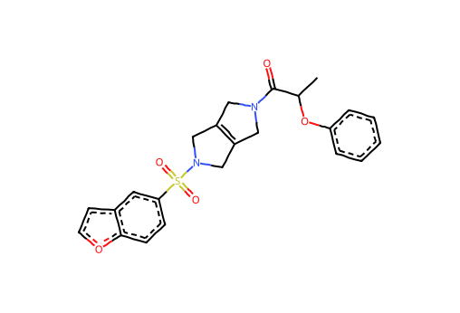 CC(Oc1ccccc1)C(=O)N1CC2=C(C1)CN(S(=O)(=O)c1ccc3occc3c1)C2